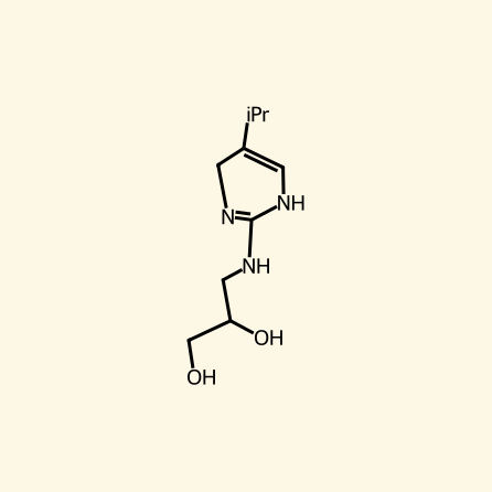 CC(C)C1=CNC(NCC(O)CO)=NC1